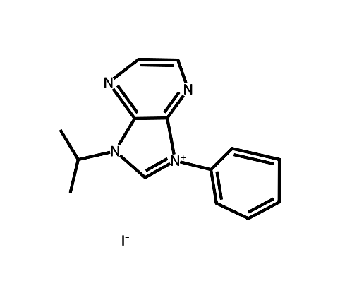 CC(C)n1c[n+](-c2ccccc2)c2nccnc21.[I-]